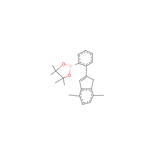 Cc1ccc(C)c2c1C=C(c1ccccc1B1OC(C)(C)C(C)(C)O1)C2